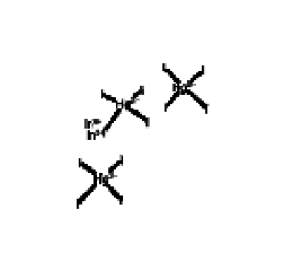 [I][Hg-2]([I])([I])[I].[I][Hg-2]([I])([I])[I].[I][Hg-2]([I])([I])[I].[In+3].[In+3]